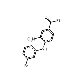 CCC(=O)c1ccc(Nc2cccc(Br)c2)c([N+](=O)[O-])c1